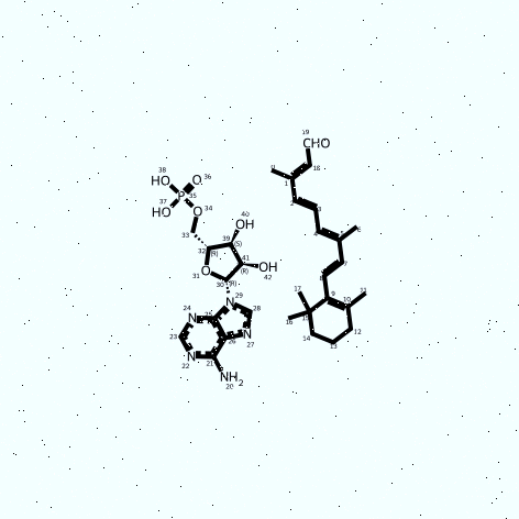 CC(C=CC=C(C)C=CC1=C(C)CCCC1(C)C)=CC=O.Nc1ncnc2c1ncn2[C@@H]1O[C@H](COP(=O)(O)O)[C@@H](O)[C@H]1O